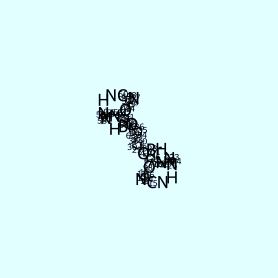 Cc1c(COc2cc(OCc3cncc(C#N)c3)c(CNCc3ncc[nH]3)cc2Br)cccc1-c1cccc(COc2cc(OCc3cncc(C#N)c3)c(CNCc3ncc[nH]3)cc2Br)c1C